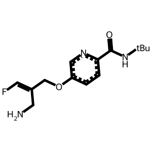 CC(C)(C)NC(=O)c1ccc(OC/C(=C/F)CN)cn1